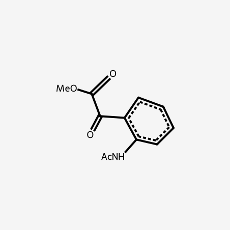 COC(=O)C(=O)c1ccccc1NC(C)=O